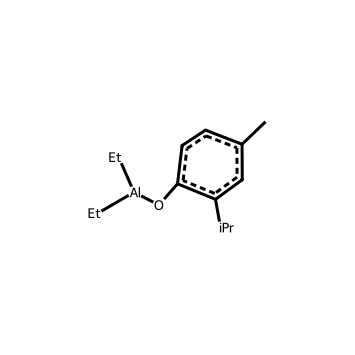 C[CH2][Al]([CH2]C)[O]c1ccc(C)cc1C(C)C